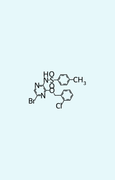 Cc1ccc(S(=O)(=O)Nc2ncc(Br)nc2OCc2ccccc2Cl)cc1